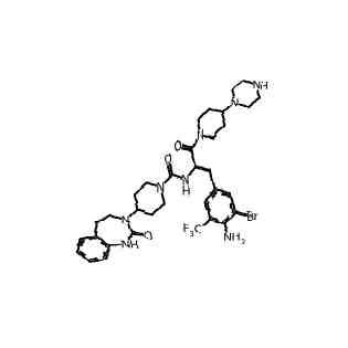 Nc1c(Br)cc(CC(NC(=O)N2CCC(N3CCc4ccccc4NC3=O)CC2)C(=O)N2CCC(N3CCNCC3)CC2)cc1C(F)(F)F